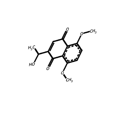 COc1ccc(OC)c2c1C(=O)C=C(C(C)O)C2=O